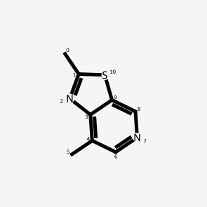 Cc1nc2c(C)cncc2s1